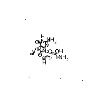 C#CCn1c(=O)n([C@@H]2O[C@H]([C@@H](O)CN)C[C@H]2O)c2nc(N)[nH]c(=O)c21